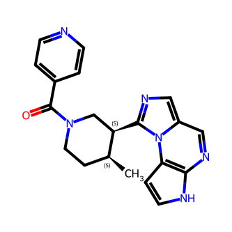 C[C@H]1CCN(C(=O)c2ccncc2)C[C@H]1c1ncc2cnc3[nH]ccc3n12